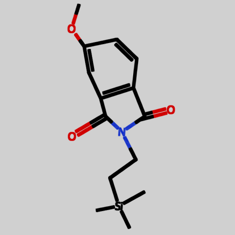 COc1ccc2c(c1)C(=O)N(CC[Si](C)(C)C)C2=O